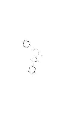 CC[C@H](NC(=O)Oc1ccccc1)c1nc(-c2ccnc(C)c2)no1